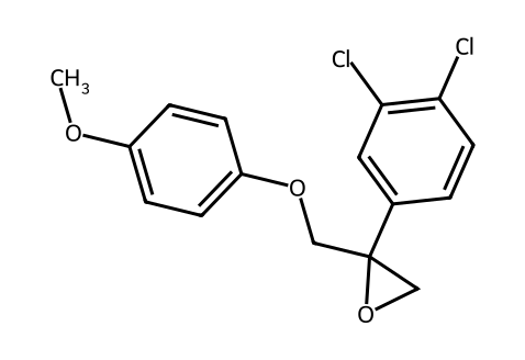 COc1ccc(OCC2(c3ccc(Cl)c(Cl)c3)CO2)cc1